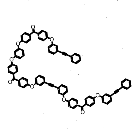 O=C(c1ccc(Oc2cccc(C#Cc3ccccc3)c2)cc1)c1ccc(Oc2cccc(C#Cc3cccc(Oc4ccc(C(=O)c5ccc(Oc6cccc(Oc7ccc(C(=O)c8ccc(Oc9cccc(C#Cc%10ccccc%10)c9)cc8)cc7)c6)cc5)cc4)c3)c2)cc1